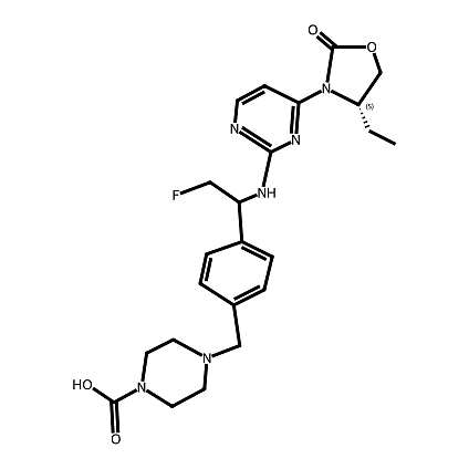 CC[C@H]1COC(=O)N1c1ccnc(NC(CF)c2ccc(CN3CCN(C(=O)O)CC3)cc2)n1